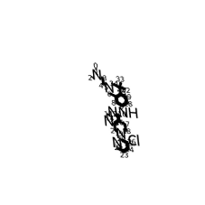 CN(C)CCN1Cc2cc(Nc3ncnc4c3CCN(c3ncccc3Cl)C4)ccc2C(C)(C)C1